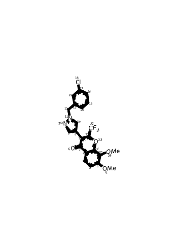 COc1ccc2c(=O)c(-c3cnn(Cc4cccc(Cl)c4)c3)c(C(F)(F)F)oc2c1OC